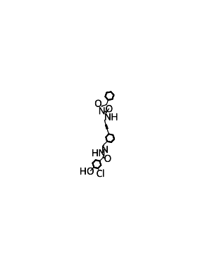 O=C(N/N=C/c1cccc(C#CCNC2=NC(=O)C(c3ccccc3)O2)c1)c1ccc(O)c(Cl)c1